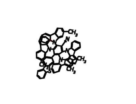 Cc1ccc2c3ccccc3n(-c3c(C#N)c(-n4c5ccccc5c5ccc(C)cc54)c(-n4c5ccccc5c5ccc(C)cc54)c(-c4ccc5c(c4)sc4ccccc45)c3-n3c4ccccc4c4ccc(C)cc43)c2c1